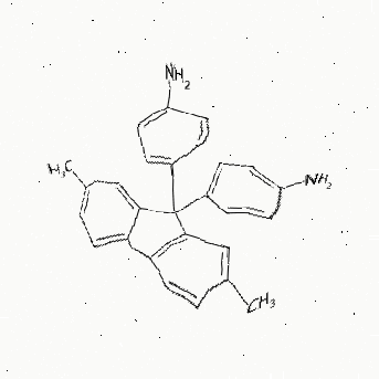 Cc1ccc2c(c1)C(c1ccc(N)cc1)(c1ccc(N)cc1)c1cc(C)ccc1-2